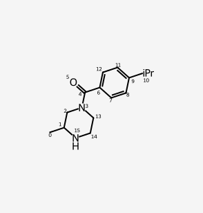 CC1CN(C(=O)c2ccc(C(C)C)cc2)CCN1